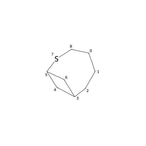 C1CCC2CC(C2)SC1